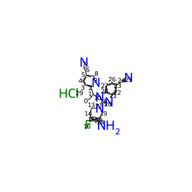 CC(c1ccc(C#N)cn1)n1c(N2CC[C@@H](F)[C@H](N)C2)nc2cc(C#N)ccc21.Cl